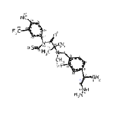 CN(Cc1ccc(/C(N)=C/NN)cc1F)C(C)(C)C(=O)N(C=S)c1ccc(C#N)c(C(F)(F)F)c1